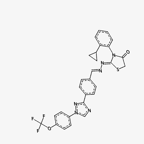 O=C1CS/C(=N\N=C\c2ccc(-c3ncn(-c4ccc(OC(F)(F)F)cc4)n3)cc2)N1c1ccccc1C1CC1